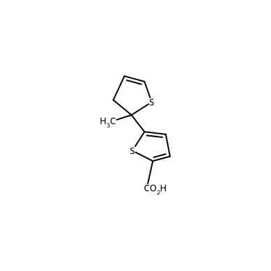 CC1(c2ccc(C(=O)O)s2)CC=CS1